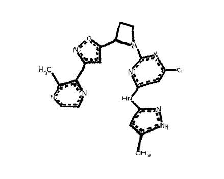 Cc1cc(Nc2cc(Cl)nc(N3CCC3c3cc(-c4nccnc4C)no3)n2)n[nH]1